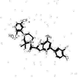 CC(C)(C)c1cc(-c2ccc(Cl)c(F)c2)nc2cc(C(=O)N3CCN(c4cc(C(F)(F)F)cnc4C(=O)O)CC3(C)C)oc12